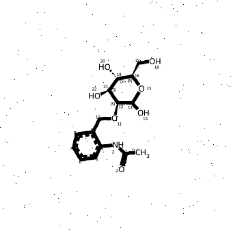 CC(=O)Nc1ccccc1CO[C@@H]1C(O)O[C@H](CO)[C@@H](O)[C@@H]1O